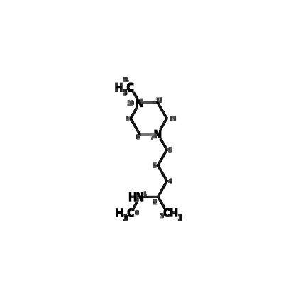 CNC(C)CCCN1CCN(C)CC1